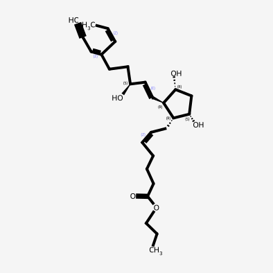 C#C/C=C(\C=C/C)CC[C@H](O)/C=C/[C@@H]1[C@@H](C/C=C\CCCC(=O)OCCC)[C@@H](O)C[C@H]1O